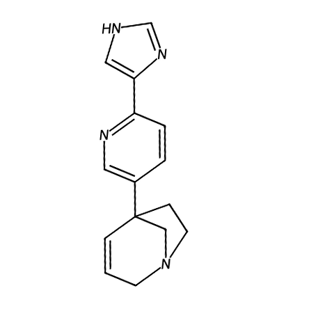 C1=CC2(c3ccc(-c4c[nH]cn4)nc3)CCN(C1)C2